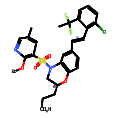 CCOc1ncc(C)cc1S(=O)(=O)N1C[C@H](CCC(=O)O)Oc2ccc(/C=C/c3c(Cl)cccc3C(C)(F)F)cc21